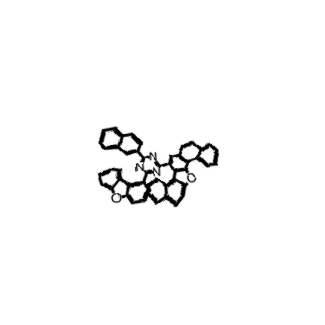 c1ccc2cc(-c3nc(-c4cccc5oc6ccccc6c45)nc(-c4cc5ccc6ccccc6c5c5oc6ccc7ccccc7c6c45)n3)ccc2c1